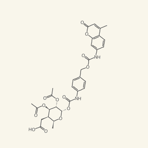 CC(=O)O[C@@H]1[C@H](OC(=O)Nc2ccc(COC(=O)Nc3ccc4c(C)cc(=O)oc4c3)cc2)O[C@@H](C)[C@@H](CC(=O)O)[C@H]1OC(C)=O